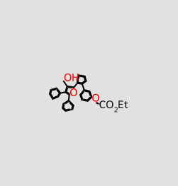 CCOC(=O)COc1cccc(-c2ccccc2-c2oc(-c3ccccc3)c(-c3ccccc3)c2CO)c1